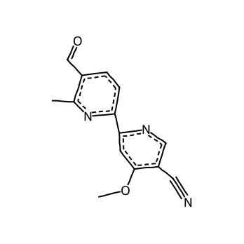 COc1cc(-c2ccc(C=O)c(C)n2)ncc1C#N